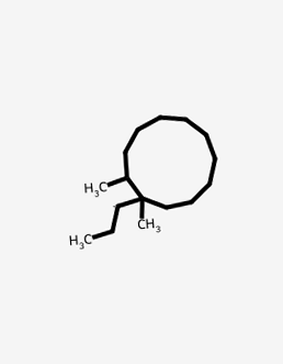 CC[CH]C1(C)CCCCCCCCCC1C